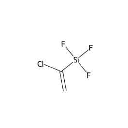 C=C(Cl)[Si](F)(F)F